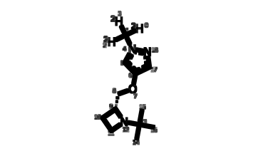 [2H]C([2H])([2H])n1cc(OC[C@H]2CCN2C(C)(C)C)cn1